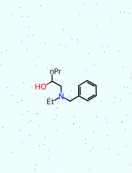 CCCC(O)CN(CC)Cc1ccccc1